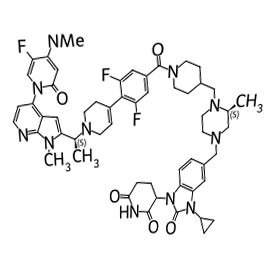 CNc1cc(=O)n(-c2ccnc3c2cc([C@H](C)N2CC=C(c4c(F)cc(C(=O)N5CCC(CN6CCN(Cc7ccc8c(c7)n(C7CC7)c(=O)n8C7CCC(=O)NC7=O)C[C@@H]6C)CC5)cc4F)CC2)n3C)cc1F